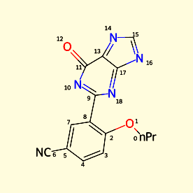 CCCOc1ccc(C#N)cc1C1=NC(=O)C2=NC=NC2=N1